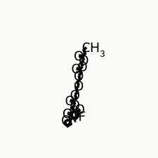 CCCC(=O)OCOC(=O)COCCOCCOCC(=O)OCn1c(=O)c(F)cn(C2CCCO2)c1=O